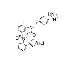 Cc1ccc([S+]([O-])N2c3ccccc3-c3ccccc3C2CC(=O)NCCc2ccc(C3=NCCN3)cc2)cc1.Cl